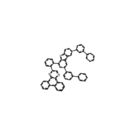 c1ccc(-c2cccc(-c3ccc4sc5c(-c6ccccc6-c6cnc7c8ccccc8c8ccccc8c7n6)cc(-c6cccc(-c7ccccc7)c6)cc5c4c3)c2)cc1